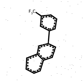 FC(F)(F)c1cccc(-c2[c]c3ccccc3cc2)c1